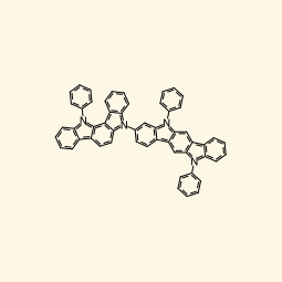 c1ccc(-n2c3ccccc3c3cc4c(cc32)c2ccc(-n3c5ccccc5c5c3ccc3c6ccccc6n(-c6ccccc6)c35)cc2n4-c2ccccc2)cc1